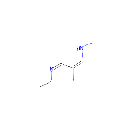 CC/N=C\C(C)=C/NC